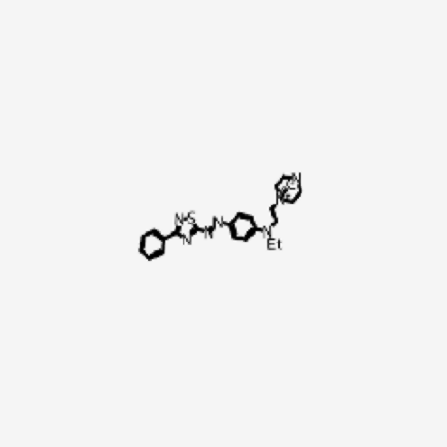 CCN(CC[N+]12CCN(CC1)CC2)c1ccc(/N=N/c2nc(-c3ccccc3)ns2)cc1